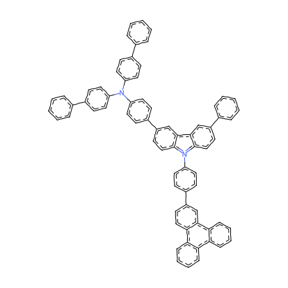 c1ccc(-c2ccc(N(c3ccc(-c4ccccc4)cc3)c3ccc(-c4ccc5c(c4)c4cc(-c6ccccc6)ccc4n5-c4ccc(-c5ccc6c7ccccc7c7ccccc7c6c5)cc4)cc3)cc2)cc1